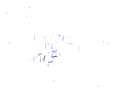 C[C@@H]1CCN([S+]([O-])CCC(F)(F)F)CC1Nc1ncc2cnc3[nH]ccc3n12